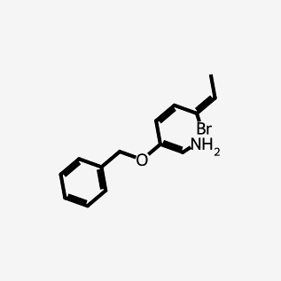 C\C=C(Br)/C=C\C(=C/N)OCc1ccccc1